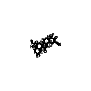 C=CC(=O)N[C@@]12CCC(C)(C)C[C@H]1[C@H]1C(=O)C=C3[C@]4(C)C=C(C#N)C(=O)C(C)(C)[C@@H]4CC[C@@]3(C)[C@]1(C)CC2